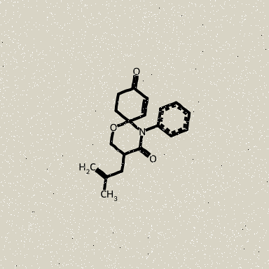 C=C(C)CC1COC2(C=CC(=O)CC2)N(c2ccccc2)C1=O